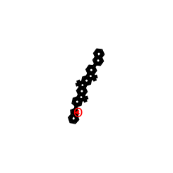 CC1(C)c2cc(-c3ccc4ccccc4c3)ccc2-c2cc3c(cc21)-c1cc2c(cc1C3(C)C)-c1ccc(-c3cc4ccccc4o3)cc1C2(C)C